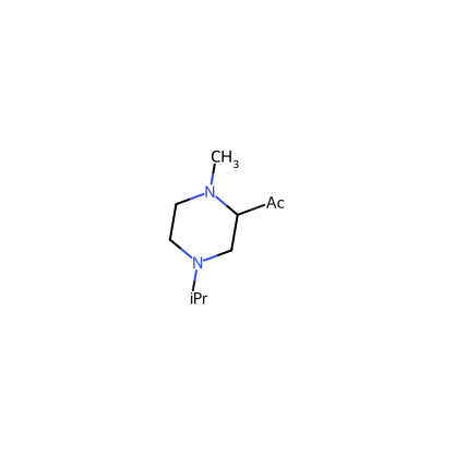 CC(=O)C1CN(C(C)C)CCN1C